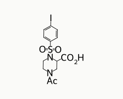 CC(=O)N1CCN(S(=O)(=O)c2ccc(I)cc2)C(C(=O)O)C1